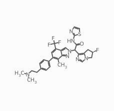 Cc1c(-c2ccc(CCN(C)C)cc2)cc(C(F)(F)F)c2cn(C(C(=O)Nc3nccs3)c3ncn4c3C[C@@H](F)C4)nc12